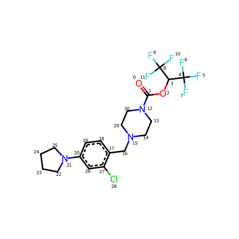 O=C(OC(C(F)(F)F)C(F)(F)F)N1CCN(Cc2ccc(N3CCCC3)cc2Cl)CC1